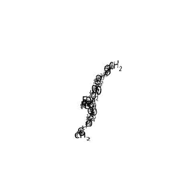 C=CC(=O)OCCCCOc1ccc(C(=O)Oc2ccc(C3=CCC(OC(=O)c4ccc(OCCCCOC(=O)C=C)cc4)CC3)c3c2OC(F)(F)O3)cc1